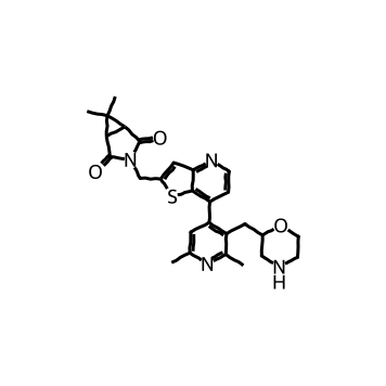 Cc1cc(-c2ccnc3cc(CN4C(=O)C5C(C4=O)C5(C)C)sc23)c(CC2CNCCO2)c(C)n1